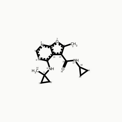 Cc1oc2ncnc(NC3(C)CC3)c2c1C(=O)NC1CC1